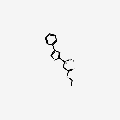 CCOC(=O)C[C@H](N)c1cc(-c2ccccc2)cs1